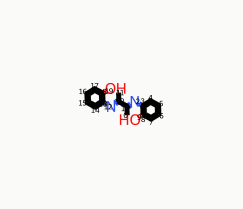 CC(=Nc1ccccc1O)C(C)=Nc1ccccc1O